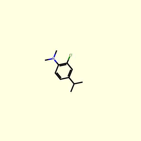 CC(C)c1ccc(N(C)C)c(Cl)c1